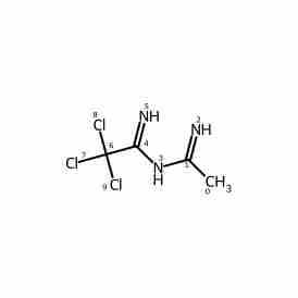 CC(=N)NC(=N)C(Cl)(Cl)Cl